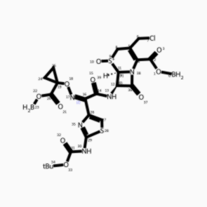 BOC(=O)C1=C(CCl)C[S+]([O-])[C@@H]2[C@H](NC(=O)/C(=N\OC3(C(=O)OB)CC3)c3csc(NC(=O)OC(C)(C)C)n3)C(=O)N12